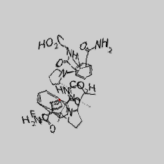 CC1C[C@@H](C2CCCN2[C@]2(C(=O)NC(=O)O)c3ccc(cc3)C(C(N)=O)C2(C)C)N(c2ccc(C(F)(F)F)cc2)[C@]1(C)C1CCCN1[C@]1(C(=O)NC(=O)O)c2ccc(cc2)C(C(N)=O)C1(C)C